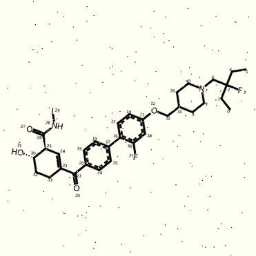 CCC(F)(CC)CN1CCC(COc2ccc(-c3ccc(C(=O)C4=C[C@H](C(=O)NI)[C@@H](O)CC4)cc3)c(F)c2)CC1